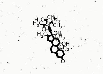 C=C1CC2C3CCC4=CC(=O)CC[C@]4(C)C3[C@@H](O)C[C@]2(C)[C@]1(O)C#C[Si](C(C)C)(C(C)C)C(C)C